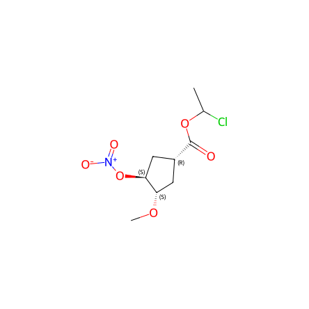 CO[C@H]1C[C@@H](C(=O)OC(C)Cl)C[C@@H]1O[N+](=O)[O-]